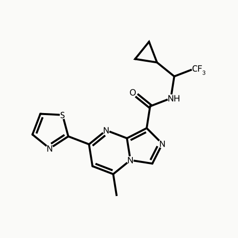 Cc1cc(-c2nccs2)nc2c(C(=O)NC(C3CC3)C(F)(F)F)ncn12